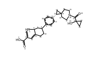 O=C(O)C1=CNC2CC(c3ccc([C@@H]4CC45CCN(C(=O)C4(O)CC4)CC5)cc3)CCC2=C1